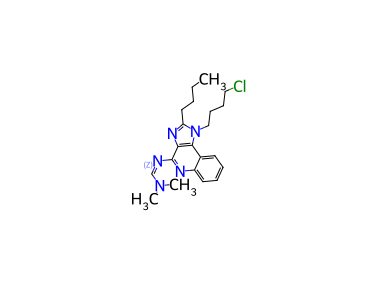 CCCCc1nc2c(/N=C\N(C)C)nc3ccccc3c2n1CCCCCl